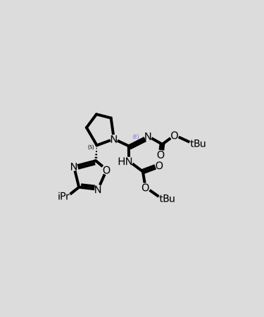 CC(C)c1noc([C@@H]2CCCN2/C(=N/C(=O)OC(C)(C)C)NC(=O)OC(C)(C)C)n1